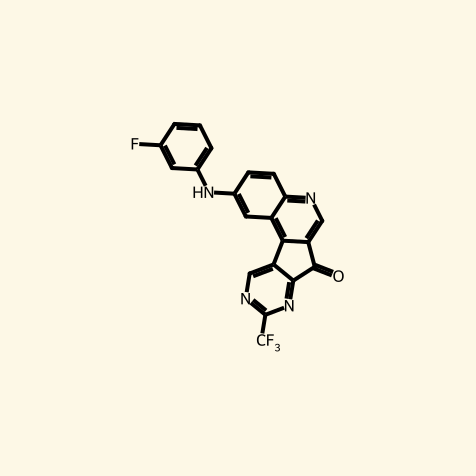 O=C1c2cnc3ccc(Nc4cccc(F)c4)cc3c2-c2cnc(C(F)(F)F)nc21